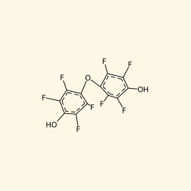 Oc1c(F)c(F)c(Oc2c(F)c(F)c(O)c(F)c2F)c(F)c1F